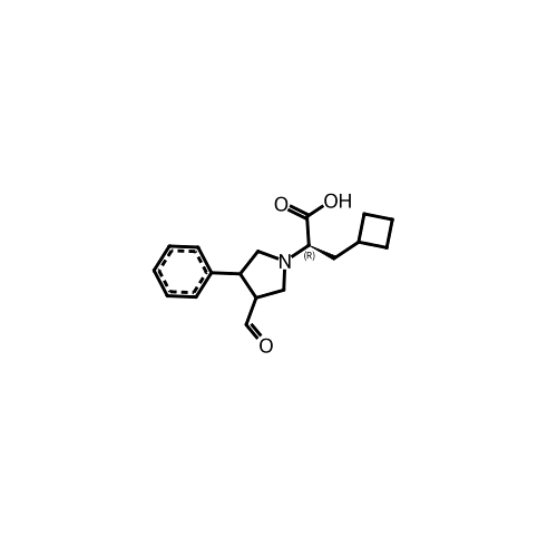 O=CC1CN([C@H](CC2CCC2)C(=O)O)CC1c1ccccc1